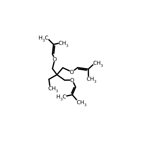 CCC(COC=C(C)C)(COC=C(C)C)COC=C(C)C